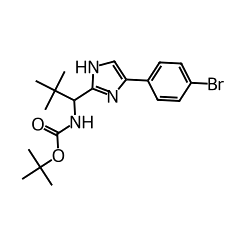 CC(C)(C)OC(=O)NC(c1nc(-c2ccc(Br)cc2)c[nH]1)C(C)(C)C